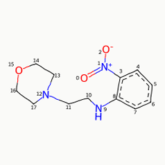 O=[N+]([O-])c1ccccc1NCCN1CCOCC1